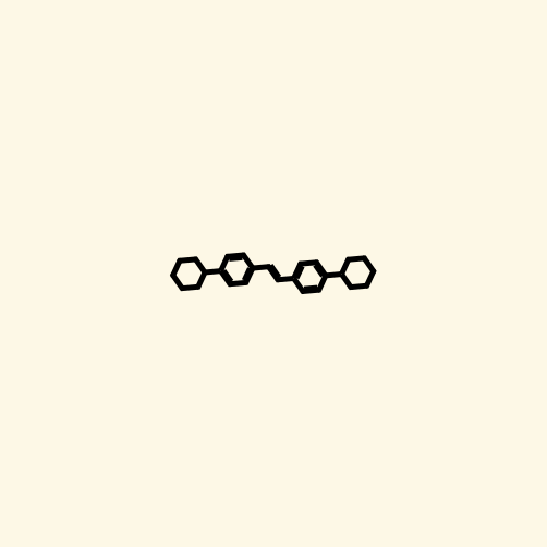 C(=Cc1ccc(C2CCCCC2)cc1)c1ccc(C2CCCCC2)cc1